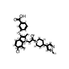 Cc1c(Sc2cccc(C(=O)O)c2)c2ccc(Cl)c(F)c2n1CC(=O)N1CCC(c2cnn(C)c2)CC1